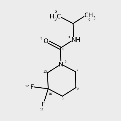 CC(C)NC(=O)N1CCCC(F)(F)C1